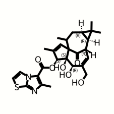 CC1=CC23C(=O)[C@@H](C=C(CO)[C@@H](O)[C@]2(O)[C@H]1OC(=O)c1c(C)nc2sccn12)[C@H]1[C@@H](CC3C)C1(C)C